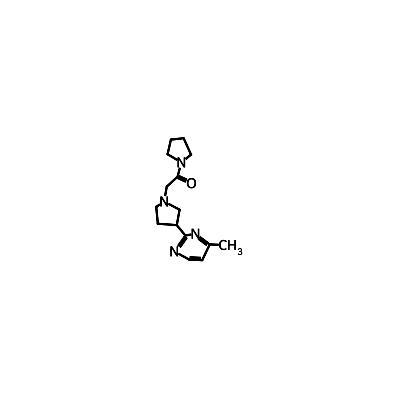 Cc1ccnc(C2CCN(CC(=O)N3CCCC3)C2)n1